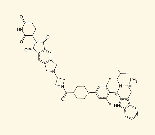 C[C@@H]1Cc2c([nH]c3ccccc23)[C@@H](c2c(F)cc(N3CCC(C(=O)N4CC(N5Cc6cc7c(cc6C5)C(=O)N(C5CCC(=O)NC5=O)C7=O)C4)CC3)cc2F)N1CC(F)F